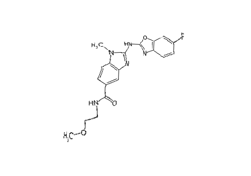 COCCNC(=O)c1ccc2c(c1)nc(Nc1nc3ccc(F)cc3o1)n2C